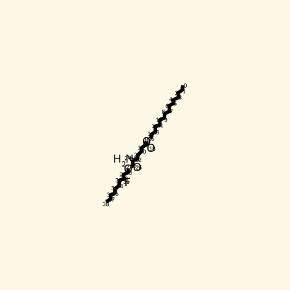 CCCCCCCCCCCCCCCCOC(=O)CCCCC(N)C(=O)OCCC(F)CCCCCCC